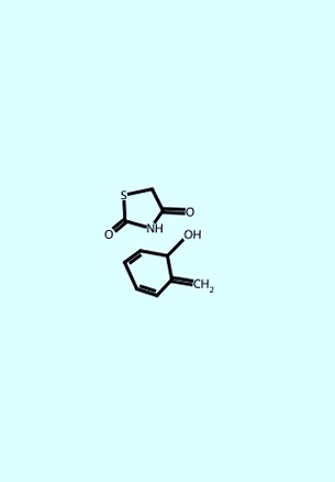 C=C1C=CC=CC1O.O=C1CSC(=O)N1